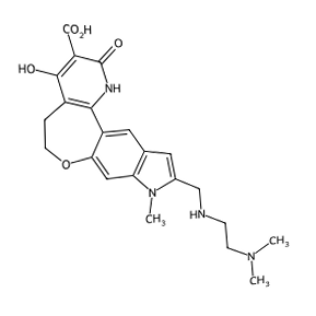 CN(C)CCNCc1cc2cc3c(cc2n1C)OCCc1c-3[nH]c(=O)c(C(=O)O)c1O